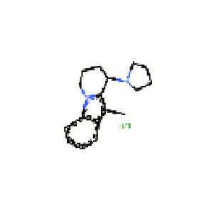 Cc1c2n(c3ccccc13)CCCC2N1CCCC1.Cl